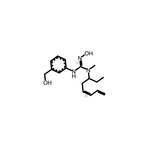 C=C/C=C\CC(CC)N(C)/C(=N\O)Nc1cccc(CO)c1